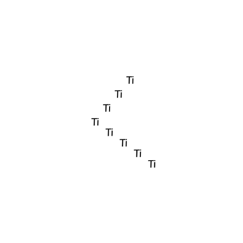 [Ti].[Ti].[Ti].[Ti].[Ti].[Ti].[Ti].[Ti]